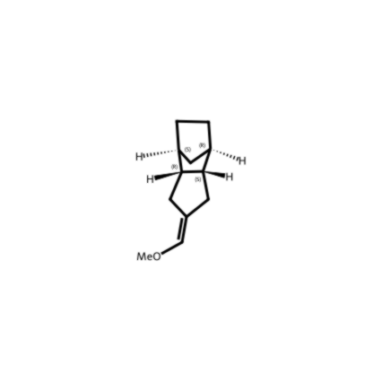 COC=C1C[C@@H]2[C@H]3CC[C@H](C3)[C@@H]2C1